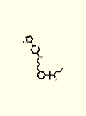 C=C(/C=C\C(=C/C)NCCCc1cccc(C(C)(C)C(=O)CCC)c1)c1ccn[nH]1